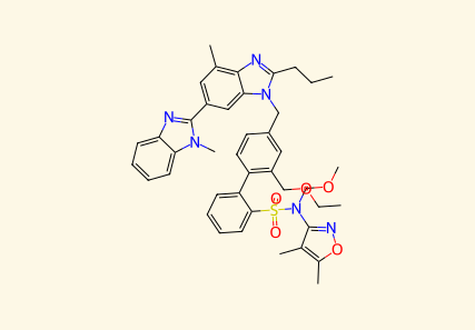 CCCc1nc2c(C)cc(-c3nc4ccccc4n3C)cc2n1Cc1ccc(-c2ccccc2S(=O)(=O)N(COC)c2noc(C)c2C)c(COCC)c1